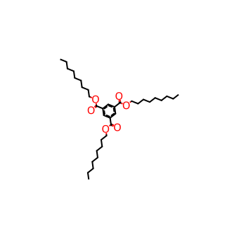 CCCCCCCCCOC(=O)c1cc(C(=O)OCCCCCCCCC)cc(C(=O)OCCCCCCCCC)c1